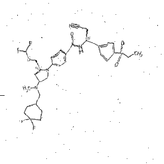 CCS(=O)(=O)c1ccc([C@H](CC#N)NC(=O)c2ccc(N3CC(N(C)CC4CCC(F)(F)CC4)C[C@H]3COC(F)F)cc2)cc1